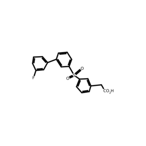 O=C(O)Cc1cccc(S(=O)(=O)c2cccc(-c3cccc(F)c3)c2)c1